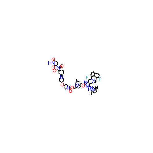 C#Cc1c(F)ccc2cccc(-c3ncc4c(N5C[C@H]6CC[C@@H](C5)N6)nc(OC[C@@]56CC[C@@H](COC(=O)N7CCC(OC8CCN(c9ccc%10c(c9)C(=O)N(C9CCC(=O)NC9=O)C%10=O)CC8)CC7)N5CC(=C)C6)nc4c3F)c12